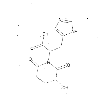 O=C(O)C(Cc1cnc[nH]1)N1C(=O)CCC(O)C1=O